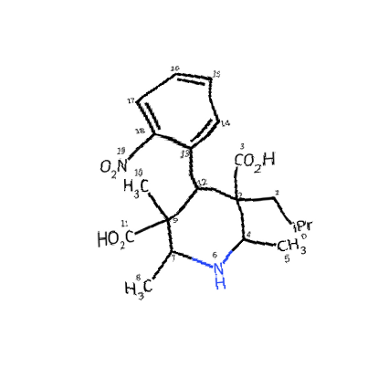 CC(C)CC1(C(=O)O)C(C)NC(C)C(C)(C(=O)O)C1c1ccccc1[N+](=O)[O-]